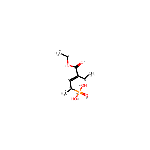 CCOC(=O)C(=CC(C)P(=O)(O)O)CC